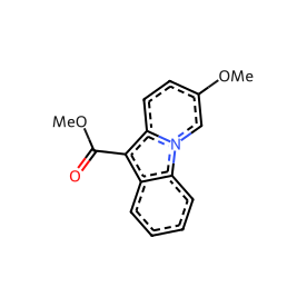 COC(=O)c1c2ccccc2n2cc(OC)ccc12